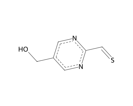 OCc1cnc(C=S)nc1